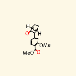 COC(=O)c1ccc(C2C(=O)[C@@H]3CC[C@H]2C3)cc1OC